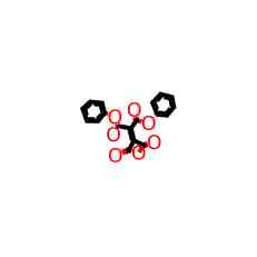 O=C1OC(=O)C1=C(C(=O)Oc1ccccc1)C(=O)Oc1ccccc1